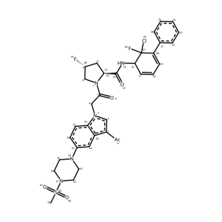 CC(=O)c1cn(CC(=O)N2C[C@H](F)C[C@H]2C(=O)NC2C=CC=C(c3ccccc3)C2(F)Cl)c2ccc(N3CCN(S(C)(=O)=O)CC3)cc12